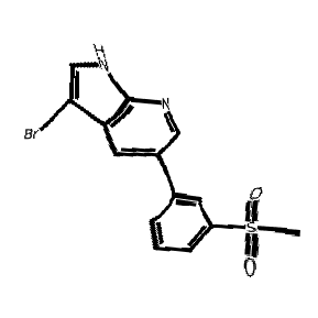 CS(=O)(=O)c1cccc(-c2cnc3[nH]cc(Br)c3c2)c1